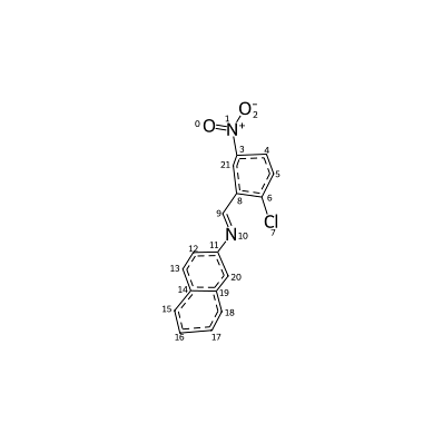 O=[N+]([O-])c1ccc(Cl)c(/C=N/c2ccc3ccccc3c2)c1